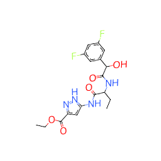 CCOC(=O)c1cc(NC(=O)C(CC)NC(=O)C(O)c2cc(F)cc(F)c2)[nH]n1